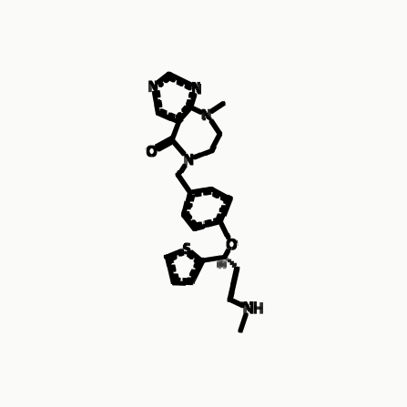 CNCC[C@@H](Oc1ccc(CN2CCN(C)c3ncncc3C2=O)cc1)c1cccs1